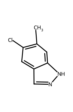 Cc1cc2[nH]ncc2cc1Cl